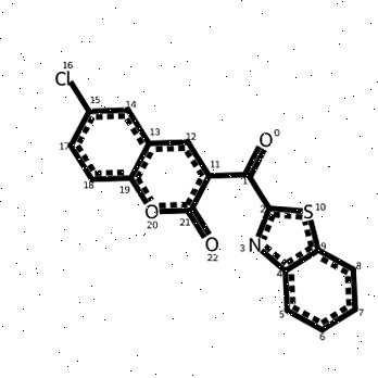 O=C(c1nc2ccccc2s1)c1cc2cc(Cl)ccc2oc1=O